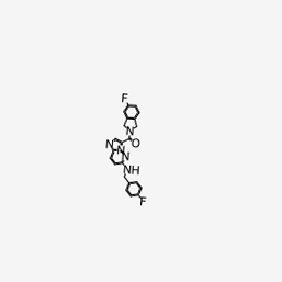 O=C(c1cnc2ccc(NCc3ccc(F)cc3)nn12)N1Cc2ccc(F)cc2C1